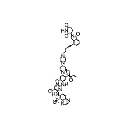 C=CC(=O)Nc1cc(Nc2ncc(Cl)c(Nc3ccc4nccnc4c3P(C)(C)=O)n2)c(OC)cc1N1CCC(N2CCN(CCCC#Cc3cccc4c3CN(C3CCC(=O)NC3=O)C4=O)CC2)CC1